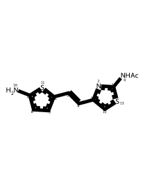 CC(=O)Nc1nc(C=Cc2ccc(N)s2)cs1